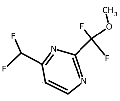 COC(F)(F)c1nc[c]c(C(F)F)n1